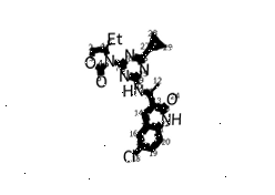 CC[C@H]1COC(=O)N1c1nc(N[C@@H](C)c2cc3cc(Cl)ccc3[nH]c2=O)nc(C2CC2)n1